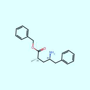 C[C@@H](C[C@@H](N)Cc1ccccc1)C(=O)OCc1ccccc1